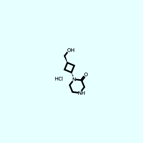 Cl.O=C1CNCCN1[C@H]1C[C@H](CO)C1